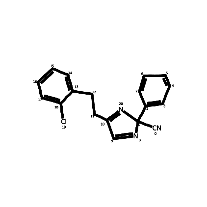 N#CC1(c2ccccc2)N=CC(CCc2ccccc2Cl)=N1